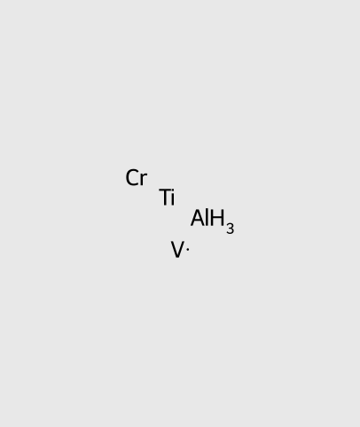 [AlH3].[Cr].[Ti].[V]